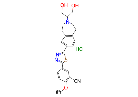 CC(C)Oc1ccc(-c2nnc(-c3ccc4c(c3)CCN(C(CO)CO)CC4)s2)cc1C#N.Cl